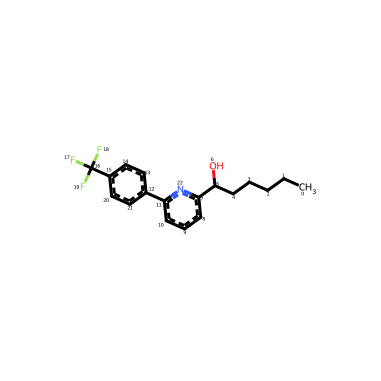 CCCCCC(O)c1cccc(-c2ccc(C(F)(F)F)cc2)n1